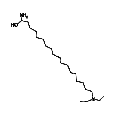 CCN(CC)CCCCCCCCCCCCCCCCCC(N)O